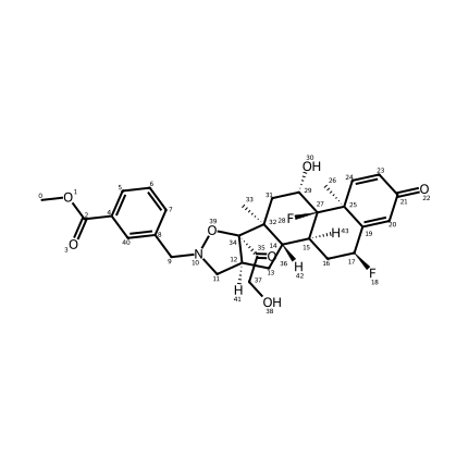 COC(=O)c1cccc(CN2C[C@@H]3C[C@H]4[C@@H]5C[C@H](F)C6=CC(=O)C=C[C@]6(C)[C@@]5(F)[C@@H](O)C[C@]4(C)[C@]3(C(=O)CO)O2)c1